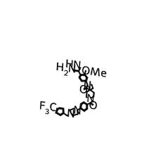 COc1cc(N2CCC3(CCN(C(=O)c4ccc(N5CCN(Cc6ccc(C(F)(F)F)cc6)CC5)cc4)CC3)C2=O)ccc1/C(C=N)=C/N